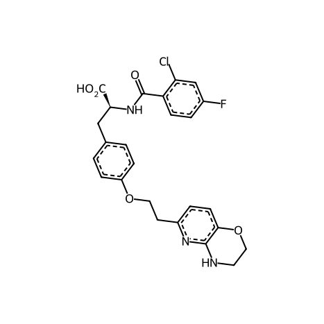 O=C(N[C@@H](Cc1ccc(OCCc2ccc3c(n2)NCCO3)cc1)C(=O)O)c1ccc(F)cc1Cl